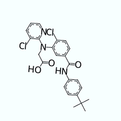 CC(C)(C)c1ccc(NC(=O)c2ccc(Cl)c(N(CC(=O)O)c3ncccc3Cl)c2)cc1